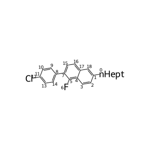 CCCCCCCc1ccc2c(F)c(-c3ccc(Cl)cc3)ccc2c1